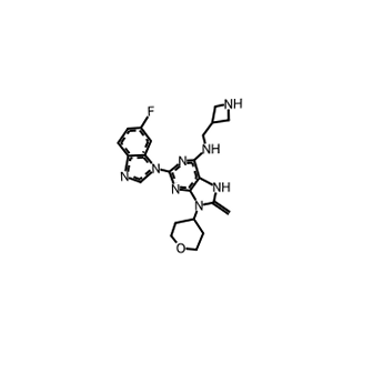 C=C1Nc2c(NCC3CNC3)nc(-n3cnc4ccc(F)cc43)nc2N1C1CCOCC1